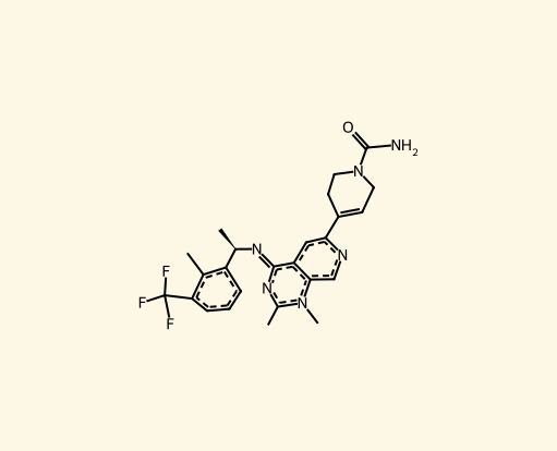 Cc1c([C@@H](C)/N=c2\nc(C)n(C)c3cnc(C4=CCN(C(N)=O)CC4)cc23)cccc1C(F)(F)F